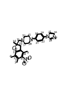 Cc1c(C)c([N+](=O)[O-])c(C)c2c1OC(C)(CN1CCN(c3ccc(-n4ccnc4)cc3)CC1)C2